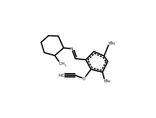 C#COc1c(/C=N/C2CCCCC2C)cc(C(C)(C)C)cc1C(C)(C)C